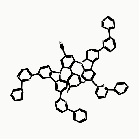 N#Cc1cc(-n2c3ccc(-c4cccc(-c5ccccc5)n4)cc3c3cc(-c4cccc(-c5ccccc5)n4)ccc32)c(-c2cc(F)cc(F)c2)c(-n2c3ccc(-c4cccc(-c5ccccc5)n4)cc3c3cc(-c4cccc(-c5ccccc5)n4)ccc32)c1